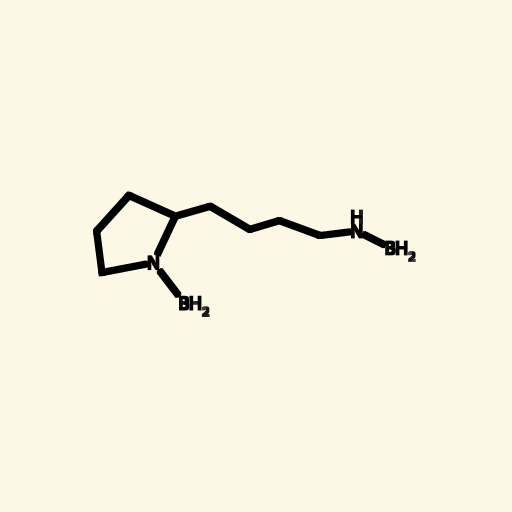 BNCCCCC1CCCN1B